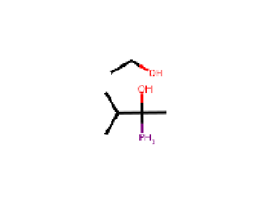 CC(C)C(C)(O)P.CCO